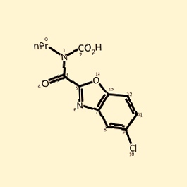 CCCN(C(=O)O)C(=O)c1nc2cc(Cl)ccc2o1